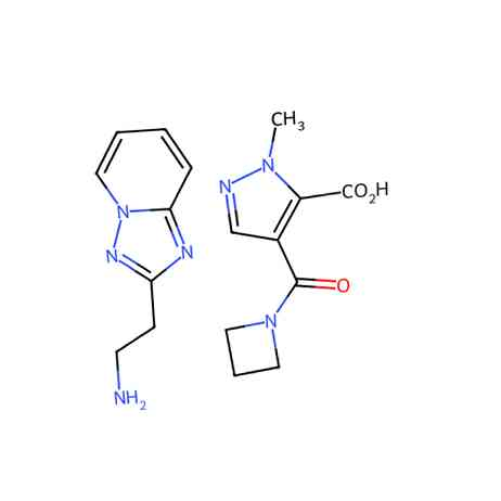 Cn1ncc(C(=O)N2CCC2)c1C(=O)O.NCCc1nc2ccccn2n1